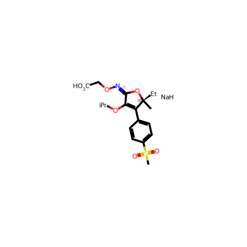 CC[C@]1(C)O/C(=N/OCC(=O)O)C(OC(C)C)=C1c1ccc(S(C)(=O)=O)cc1.[NaH]